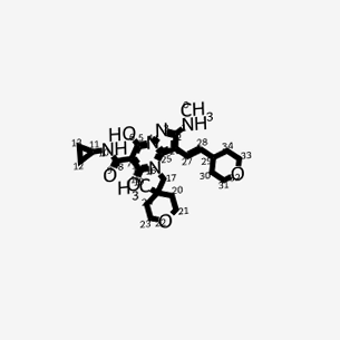 CNc1nn2c(O)c(C(=O)NC3CC3)c(=O)n(CC3(C)CCOCC3)c2c1C=CC1CCOCC1